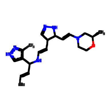 CCCC/C=C/C(N/C=C/C1C=NNC1/C=C/N1CCO[C@H](C)C1)c1c[nH]nc1C(F)(F)F